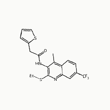 CCSc1nc2cc(C(F)(F)F)ccc2c(C)c1NC(=O)Cc1cccs1